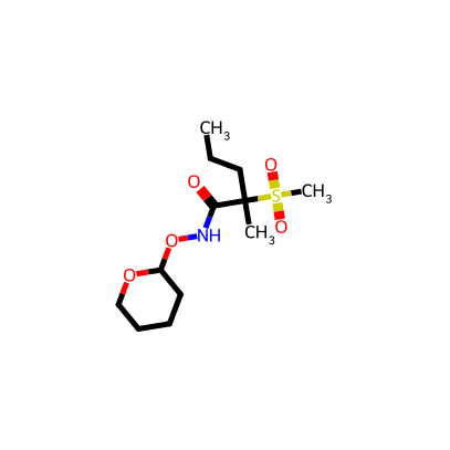 CCCC(C)(C(=O)NOC1CCCCO1)S(C)(=O)=O